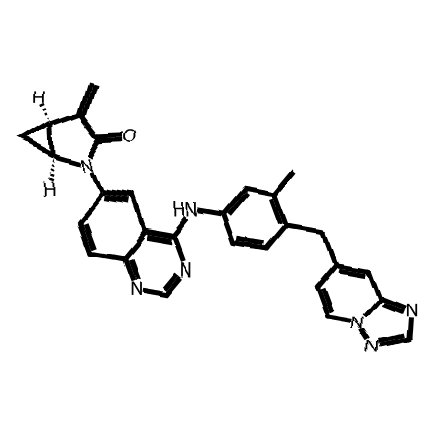 C=C1C(=O)N(c2ccc3ncnc(Nc4ccc(Cc5ccn6ncnc6c5)c(C)c4)c3c2)[C@H]2C[C@@H]12